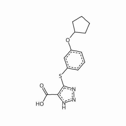 O=C(O)c1[nH]nnc1Sc1cccc(OC2CCCC2)c1